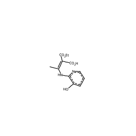 CCOC(=O)C(C(=O)O)=C(C)Nc1ncccc1O